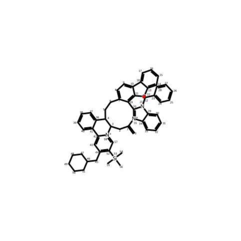 C=C1CC2C(CCc3ccc4c(oc5ccccc54)c3-c3n(Cc4ccccc4)c4ccccc4[n+]31)c1ccccc1-c1cc(CC3CCCCC3)c([Si](C)(C)C)c[n+]12